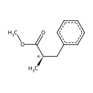 COC(=O)[C@H](C)Cc1ccccc1